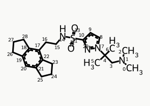 CN(C)CC(C)(C)n1ccc(S(=O)(=O)NCCc2c3c(cc4c2CCC4)CCC3)n1